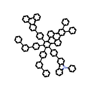 c1ccc(-c2cccc(-c3ccc(-c4c(-c5ccc(-c6cccc(-c7ccccc7)c6)cc5)c(-c5ccc(-c6ccc7c(c6)c6ccccc6n7-c6ccccc6)cc5)c5c6cccc7c8cc(-c9ccccc9)c(-c9ccccc9)cc8c8cccc(c5c4-c4ccc(-c5ccc9c%10ccccc%10c%10ccccc%10c9c5)cc4)c8c76)cc3)c2)cc1